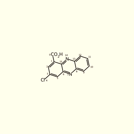 O=C(O)c1cc(Cl)cc2nc3ccccc3nc12